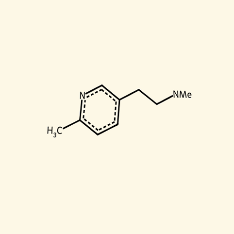 CNCCc1ccc(C)nc1